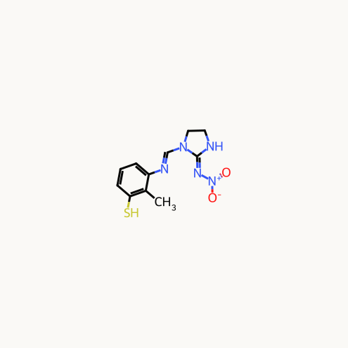 Cc1c(S)cccc1N=CN1CCNC1=N[N+](=O)[O-]